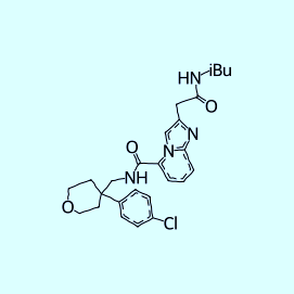 CCC(C)NC(=O)Cc1cn2c(C(=O)NCC3(c4ccc(Cl)cc4)CCOCC3)cccc2n1